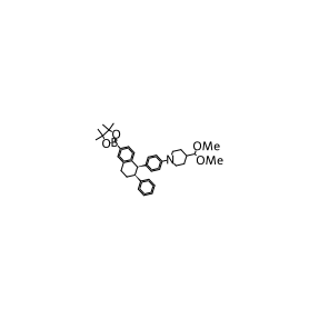 COC(OC)C1CCN(c2ccc([C@@H]3c4ccc(B5OC(C)(C)C(C)(C)O5)cc4CC[C@@H]3c3ccccc3)cc2)CC1